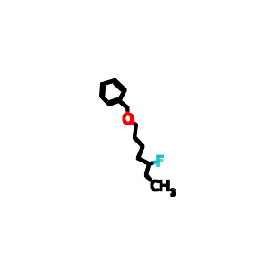 CCC(F)CCCCOCc1ccccc1